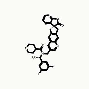 C[C@@H](c1cc(F)cc(F)c1)N(Cc1cnc2cc3c(cc2c1)C[C@@]1(C3)C(=O)Nc2ncccc21)C(=O)C1CCOCC1